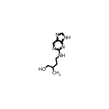 CC(CO)CCNc1ncc2nc[nH]c2n1